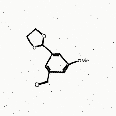 COc1cc(CCl)cc(C2OCCO2)c1